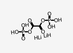 O=C(OP(=O)(O)O)C(=O)OP(=O)(O)O.[LiH].[LiH]